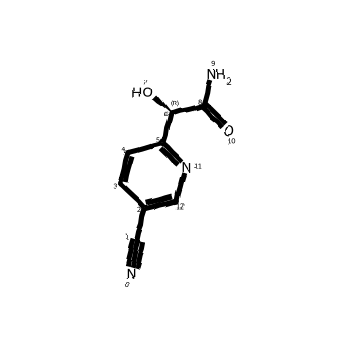 N#Cc1ccc([C@@H](O)C(N)=O)nc1